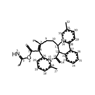 C=C(OC(C)=N)/C1=C(\C)CCC2C(C(=C)[n+]3c(C)cccc31)c1ccccc1-c1ccc(C)c[n+]12